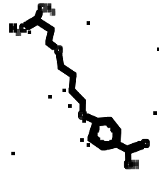 C=C(C)CCOCCCCOc1ccc(C(=O)O)cc1